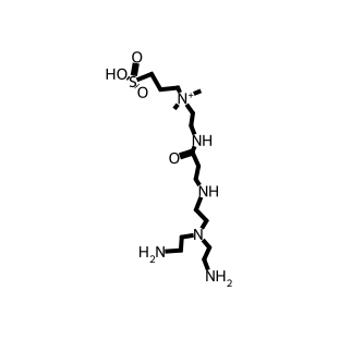 C[N+](C)(CCCS(=O)(=O)O)CCNC(=O)CCNCCN(CCN)CCN